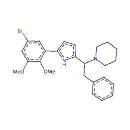 COc1cc(Br)cc(-c2ccc(C(Cc3ccccc3)N3CCCCC3)[nH]2)c1OC